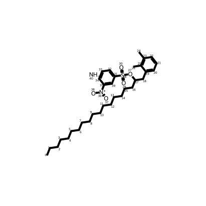 CCCCCCCCCCCCCCCCCC(Cc1cccc(C)c1C)OS(=O)(=O)c1cccc([N+](=O)[O-])c1.N